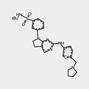 CC(C)(C)NS(=O)(=O)c1cccc(N2CCc3cnc(Nc4ccc(CN5CCCC5)cc4)nc32)c1